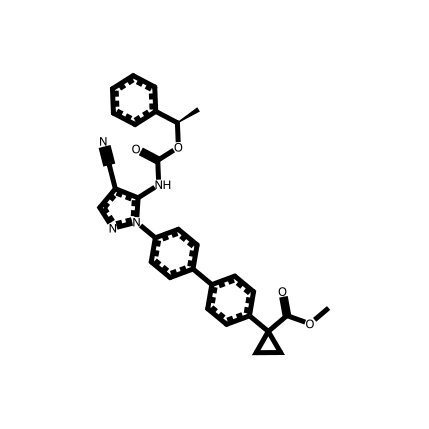 COC(=O)C1(c2ccc(-c3ccc(-n4ncc(C#N)c4NC(=O)O[C@H](C)c4ccccc4)cc3)cc2)CC1